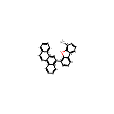 N#Cc1cccc2c1oc1c(-c3cc4c5ccccc5ccc4c4ccccc34)cccc12